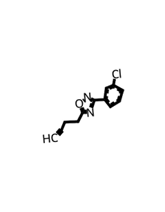 C#CCCc1nc(-c2cccc(Cl)c2)no1